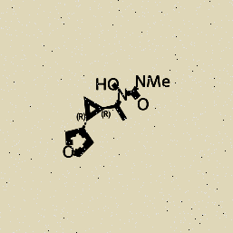 CNC(=O)N(O)C(C)[C@@H]1C[C@H]1c1ccoc1